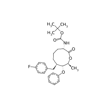 C[C@@H]1OC(=O)[C@@H](NC(=O)OC(C)(C)C)CCC[C@H](Cc2ccc(F)cc2)[C@H]1Oc1ccccc1